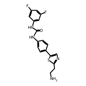 NCCc1ncc(-c2ccc(NC(=O)Nc3cc(F)cc(F)c3)cc2)s1